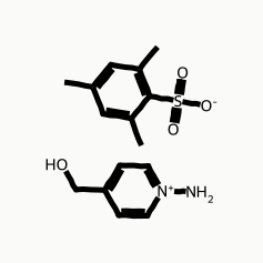 Cc1cc(C)c(S(=O)(=O)[O-])c(C)c1.N[n+]1ccc(CO)cc1